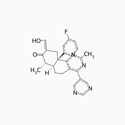 Cc1nc(-c2cncnc2)c2c(n1)[C@@]1(c3cccc(F)c3)C/C(=C/O)C(=O)[C@@H](C)[C@@H]1CC2